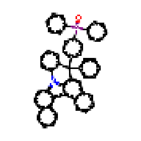 O=P(c1ccccc1)(c1ccccc1)c1ccc(C2(c3ccccc3)c3ccccc3-n3c4ccc5ccccc5c4c4c5ccccc5cc2c43)cc1